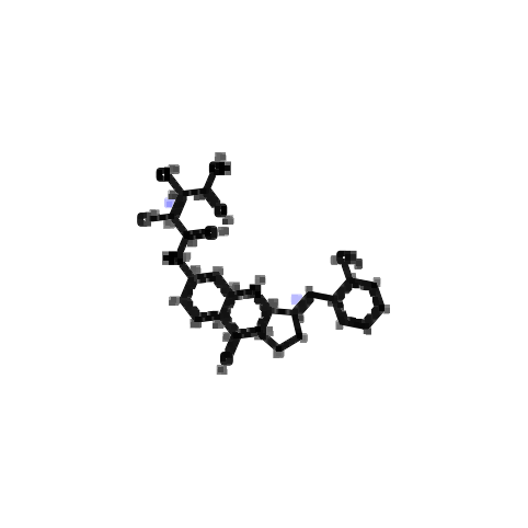 Cc1ccccc1/C=C1\CCn2c1nc1cc(NC(=O)/C(Cl)=C(/Cl)C(=O)O)ccc1c2=O